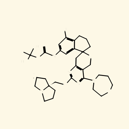 CC(C)(C)OC(=O)Nc1cc(Cl)c2c(c1)C1(CCC2)Cc2nc(OC[C@@]34CCCN3C[C@H](F)C4)nc(N3CCCOCC3)c2CO1